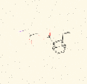 C=CC1c2ccc(cc2)C1C(=O)OCC(O)CI